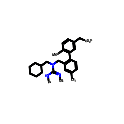 CCNC(=NC#N)N(Cc1cc(C(F)(F)F)ccc1-c1cc(CC(=O)O)ccc1OC)CC1CCCCC1